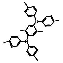 Cc1ccc(N(c2ccc(C)cc2)c2cc(C)c(N(c3ccc(C)cc3)c3ccc(C)cc3)cc2C)cc1